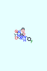 CC(C)[C@H]1C(=O)N(Cc2ccco2)C[C@H]2N1C(=O)CN(C)N2C(=O)NCc1ccc(F)cc1